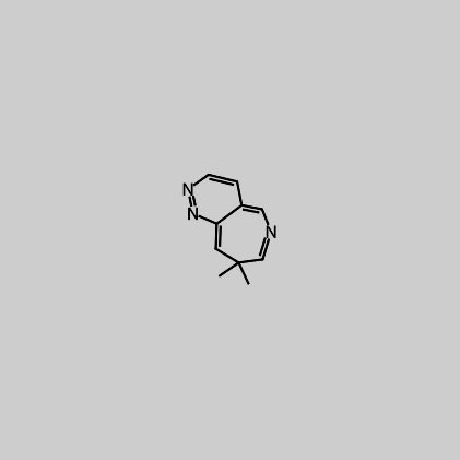 CC1(C)C=NC=c2ccnnc2=C1